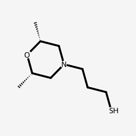 C[C@@H]1CN(CCCS)C[C@H](C)O1